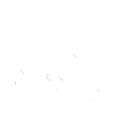 O=C(NCc1ccnc(F)c1)N1CC2(CCN(C/C=C/c3ccc(Cl)cc3)CC2)c2cc(OC(F)(F)F)ccc21